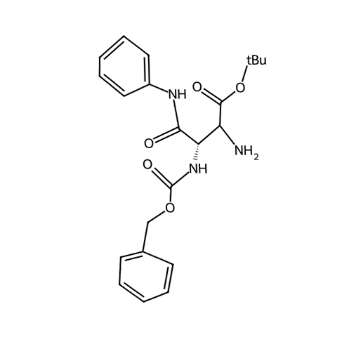 CC(C)(C)OC(=O)C(N)[C@H](NC(=O)OCc1ccccc1)C(=O)Nc1ccccc1